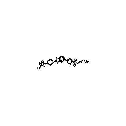 COCCS(=O)(=O)c1ccc(-c2ccc3nc(N4CCC(c5nc(C(C)C)no5)CC4)sc3n2)cc1